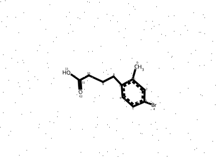 Cc1cc(Br)ccc1CCCC(=O)O